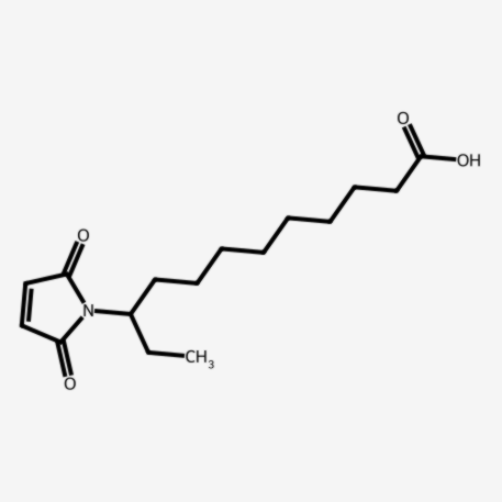 CCC(CCCCCCCCC(=O)O)N1C(=O)C=CC1=O